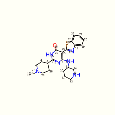 CC(C)N1CCC(c2nc(N[C@@H]3CCCNC3)c(-c3nc4ccccc4s3)c(=O)[nH]2)CC1